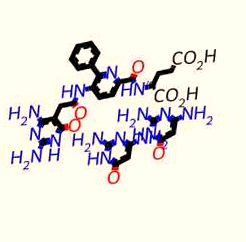 Nc1cc(=O)[nH]c(N)n1.Nc1cc(=O)[nH]c(N)n1.Nc1nc(N)c(CC(=O)Nc2ccc(C(=O)N[C@@H](CCC(=O)O)C(=O)O)nc2-c2ccccc2)c(=O)[nH]1